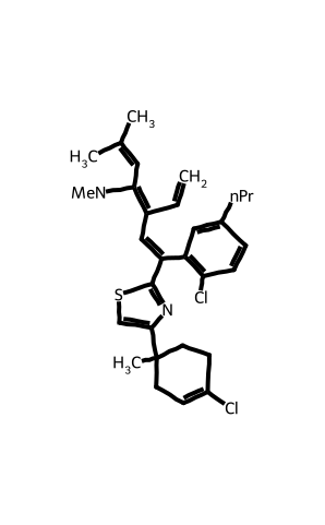 C=CC(/C=C(/c1nc(C2(C)CC=C(Cl)CC2)cs1)c1cc(CCC)ccc1Cl)=C(\C=C(C)C)NC